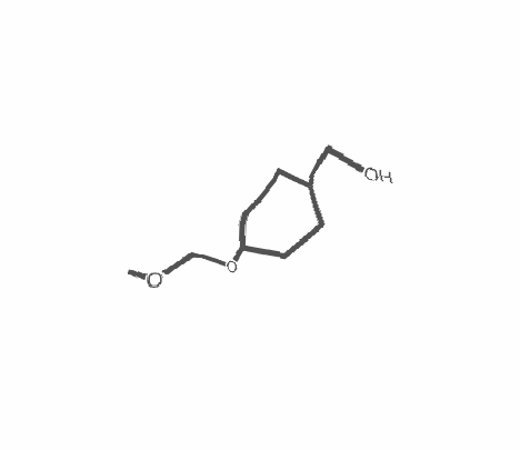 COCOC1CCC(CO)CC1